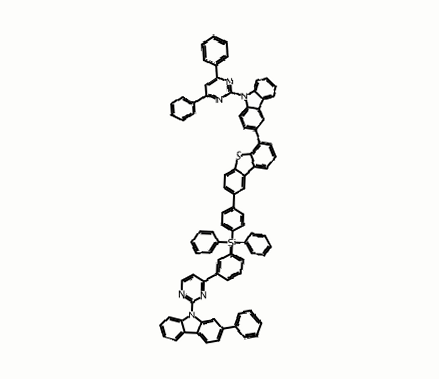 c1ccc(-c2ccc3c4ccccc4n(-c4nccc(-c5cccc([Si](c6ccccc6)(c6ccccc6)c6ccc(-c7ccc8sc9c(-c%10ccc%11c(c%10)c%10ccccc%10n%11-c%10nc(-c%11ccccc%11)cc(-c%11ccccc%11)n%10)cccc9c8c7)cc6)c5)n4)c3c2)cc1